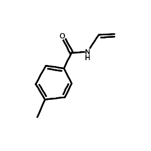 C=CNC(=O)c1ccc(C)cc1